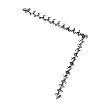 O=[N+]([O-])[O-].O=[N+]([O-])[O-].O=[N+]([O-])[O-].O=[N+]([O-])[O-].O=[N+]([O-])[O-].O=[N+]([O-])[O-].O=[N+]([O-])[O-].O=[N+]([O-])[O-].O=[N+]([O-])[O-].O=[N+]([O-])[O-].O=[N+]([O-])[O-].O=[N+]([O-])[O-].O=[N+]([O-])[O-].O=[N+]([O-])[O-].O=[N+]([O-])[O-].O=[N+]([O-])[O-].O=[N+]([O-])[O-].O=[N+]([O-])[O-].O=[N+]([O-])[O-].O=[N+]([O-])[O-].O=[N+]([O-])[O-].O=[N+]([O-])[O-].O=[N+]([O-])[O-].O=[N+]([O-])[O-].[Ce+4].[Ce+4].[Ce+4].[Ce+4].[Ce+4].[NH4+].[NH4+].[NH4+].[NH4+]